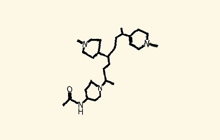 CC(=O)NC1CCN(C(C)CCC(CCC(C)C2=CCN(C)CC2)C2CCN(C)CC2)CC1